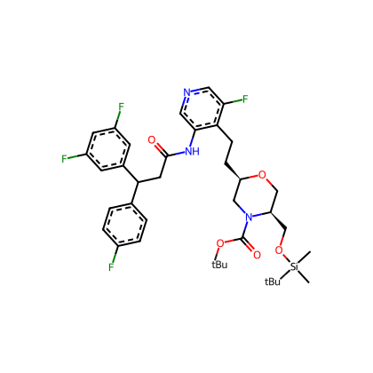 CC(C)(C)OC(=O)N1C[C@@H](CCc2c(F)cncc2NC(=O)CC(c2ccc(F)cc2)c2cc(F)cc(F)c2)OC[C@H]1CO[Si](C)(C)C(C)(C)C